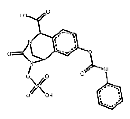 O=C(Nc1ccccc1)Oc1ccc2c(c1)C1CN(C(=O)N1OS(=O)(=O)O)C2C(=O)O